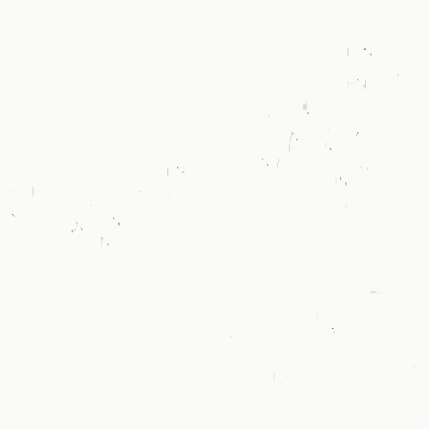 CCCC1O[C@@H]2CC3[C@@H]4CCC5=CC(=O)C=C[C@]5(C)C4[C@@H](O)C[C@]3(C)[C@]2(C(=O)COC(=O)OCc2ccc(NC(=O)[C@H](CCCNC(N)=O)NC(=O)[C@@H](NC(=O)[C@H](N)CCCCNC(=O)COC3CCCCC/C(N[C@@H]4O[C@H](CO)CC[C@H]4O)=C\3N=N)C(C)C)cc2)O1